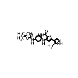 Cc1[nH]ncc1-c1cc2c(s1)C(=O)NC1(CCC(NC(=O)OC(C)(C)C)CC1)N2